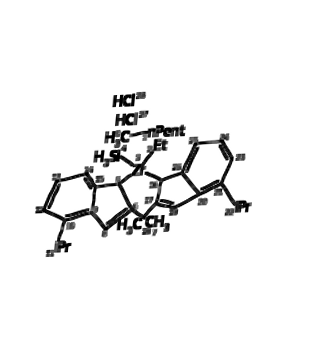 CCCCCC.C[CH2][Zr]([SiH3])([CH]1C(C)=Cc2c(C(C)C)cccc21)[CH]1C(C)=Cc2c(C(C)C)cccc21.Cl.Cl